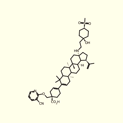 C=C(C)[C@@H]1CC[C@]2(NCC[C@]3(O)CC[C@@H](S(C)(=O)=O)CC3)CC[C@]3(C)[C@H](CCC4[C@@]5(C)CC=C(C6=CC[C@](COc7ncccc7C#N)(C(=O)O)CC6)C(C)(C)C5CC[C@]43C)C12